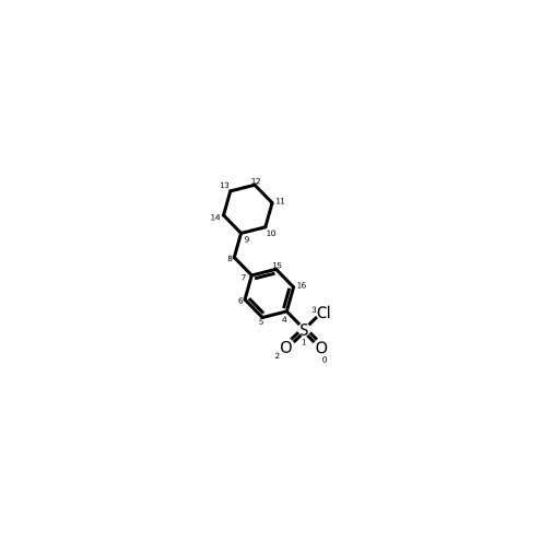 O=S(=O)(Cl)c1ccc(CC2CCCCC2)cc1